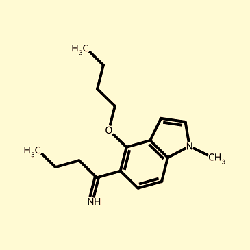 CCCCOc1c(C(=N)CCC)ccc2c1ccn2C